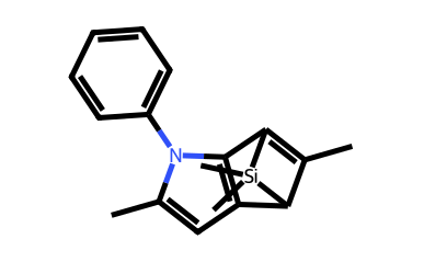 CC1=C2c3c(cc(C)n3-c3ccccc3)C1[Si]2(C)C